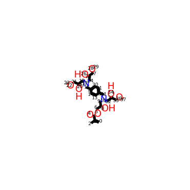 C=C(C)C(=O)OCC(O)CN(Cc1ccc(CN(CC(O)COC)CC(O)COC)cc1)CC(O)COC